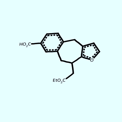 CCOC(=O)CC1Cc2cc(C(=O)O)ccc2Cc2ccoc21